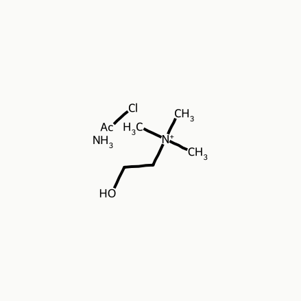 CC(=O)Cl.C[N+](C)(C)CCO.N